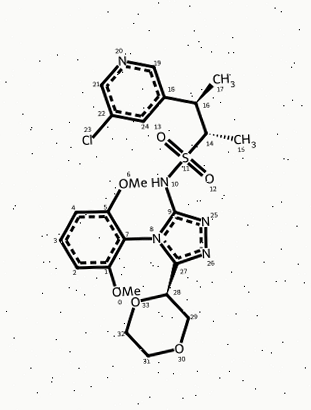 COc1cccc(OC)c1-n1c(NS(=O)(=O)[C@@H](C)[C@H](C)c2cncc(Cl)c2)nnc1[C@H]1COCCO1